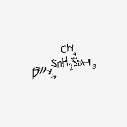 C.[BiH3].[SbH3].[SnH2]